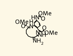 COC(=O)Nc1ccc2c(c1)N[C@@H](C(=O)OC)CCCC[C@H](N)c1nc-2c(C(=O)OC)[nH]1